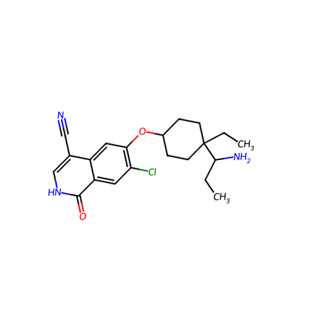 CCC(N)C1(CC)CCC(Oc2cc3c(C#N)c[nH]c(=O)c3cc2Cl)CC1